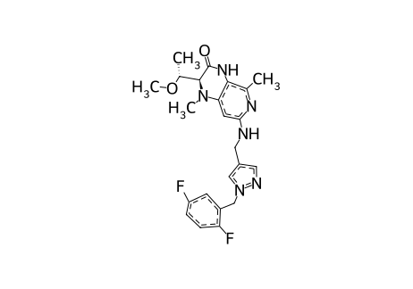 CO[C@H](C)[C@H]1C(=O)Nc2c(cc(NCc3cnn(Cc4cc(F)ccc4F)c3)nc2C)N1C